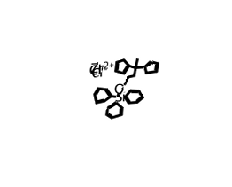 CC(CCCO[Si](c1ccccc1)(c1ccccc1)c1ccccc1)(C1=CC=CC1)C1=CC=CC1.[Cl-].[Cl-].[Zr+2]